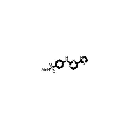 CNS(=O)(=O)c1ccc(Nc2nccc(-c3nccs3)n2)cc1